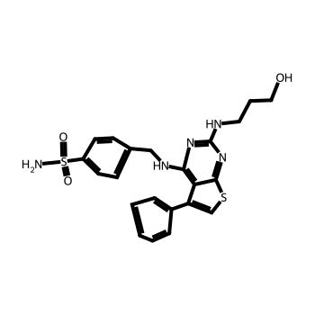 NS(=O)(=O)c1ccc(CNc2nc(NCCCO)nc3scc(-c4ccccc4)c23)cc1